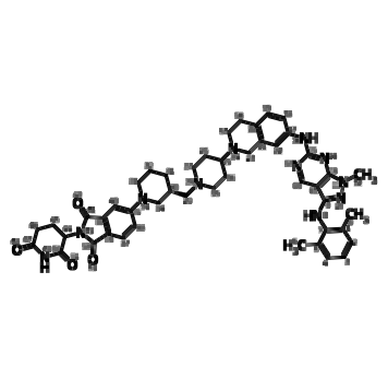 Cc1cccc(C)c1Nc1nn(C)c2nc(Nc3ccc4c(c3)CN(C3CCN(C[C@@H]5CCCN(c6ccc7c(c6)C(=O)N(C6CCC(=O)NC6=O)C7=O)C5)CC3)CC4)ncc12